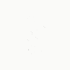 CC(=O)c1cccc(Nc2ncc(C#N)c(-c3ccccc3)n2)c1